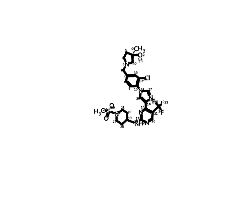 C[C@@]1(O)CCN(Cc2ccc(-n3cnc(-c4nc(NC5CCN(S(C)(=O)=O)CC5)ncc4C(F)(F)F)c3)c(Cl)c2)C1